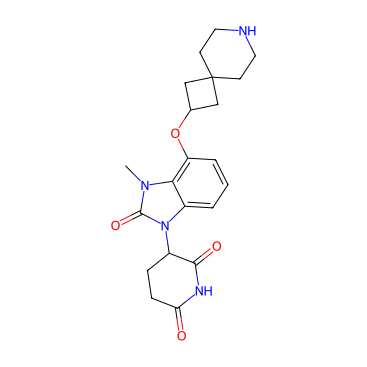 Cn1c(=O)n(C2CCC(=O)NC2=O)c2cccc(OC3CC4(CCNCC4)C3)c21